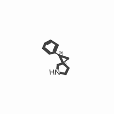 c1ccc([C@H]2C[C@]23CCNC3)cc1